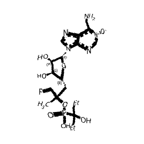 CCC(O)(CC)P(=O)(O)OC(C)(CF)C[C@H]1O[C@@H](n2cnc3c(N)[n+]([O-])cnc32)[C@H](O)[C@@H]1O